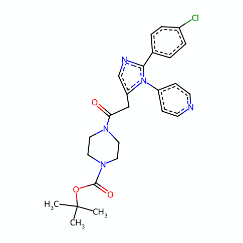 CC(C)(C)OC(=O)N1CCN(C(=O)Cc2cnc(-c3ccc(Cl)cc3)n2-c2ccncc2)CC1